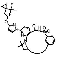 CC1(C)CC2CCCCc3cccc(c3)S(=O)(=O)NC(=O)c3ccc(-n4ccc(OCCC5(C(F)(F)F)CC5)n4)nc3N1C2